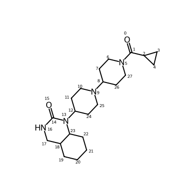 O=C(C1CC1)N1CCC(N2CCC(N3C(=O)NCC4CCCCC43)CC2)CC1